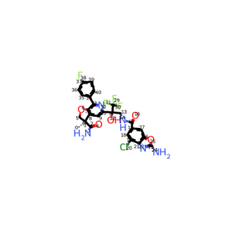 C[C@]1(C(N)=O)COc2c1cc(C(O)(CNC(=O)c1cc(Cl)c3nc(N)oc3c1)C(F)(F)F)nc2-c1ccc(F)cc1